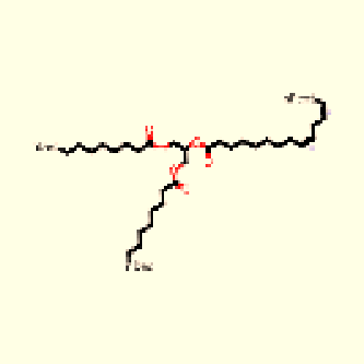 CCCCC/C=C\C/C=C\CCCCCCCC(=O)OC(COC(=O)CCCCCCCCCCCCCCCCC)COC(=O)CCCCCCCCCCCCCCCCC